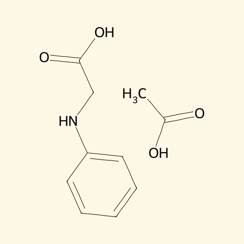 CC(=O)O.O=C(O)CNc1ccccc1